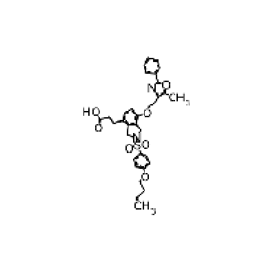 CCCCOc1ccc(S(=O)(=O)N2Cc3c(CCC(=O)O)ccc(OCCc4nc(-c5ccccc5)oc4C)c3C2)cc1